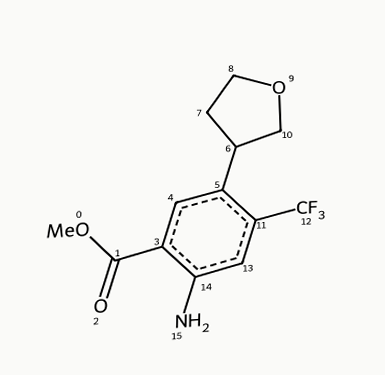 COC(=O)c1cc(C2CCOC2)c(C(F)(F)F)cc1N